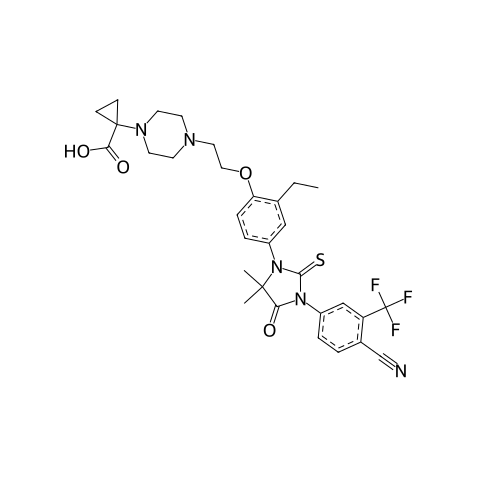 CCc1cc(N2C(=S)N(c3ccc(C#N)c(C(F)(F)F)c3)C(=O)C2(C)C)ccc1OCCN1CCN(C2(C(=O)O)CC2)CC1